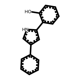 Oc1ccccc1-c1cc(-c2ccccc2)c[nH]1